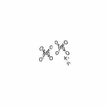 [I+].[K+].[O]=[Mn](=[O])(=[O])[O-].[O]=[Mn](=[O])(=[O])[O-]